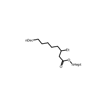 CCCCCCCCCCCCCCCC(CC)CC(=O)OCCCCCCC